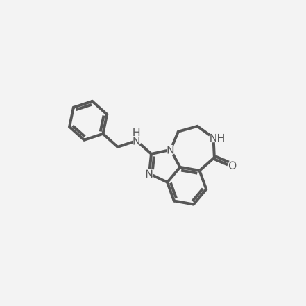 O=C1NCCn2c(NCc3ccccc3)nc3cccc1c32